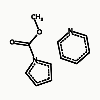 COC(=O)n1cccc1.c1ccncc1